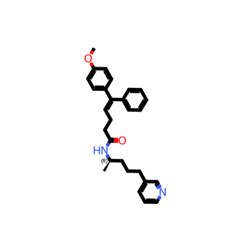 COc1ccc(C(=CCCC(=O)N[C@H](C)CCCc2cccnc2)c2ccccc2)cc1